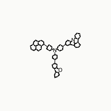 c1cc2ccc3ccc(-c4ccc(N(c5ccc(-c6ccc7c(c6)oc6ccccc67)cc5)c5ccc(-c6ccc7c(c6)c6cccc8c9ccccc9n7c86)cc5)cc4)c4ccc(c1)c2c34